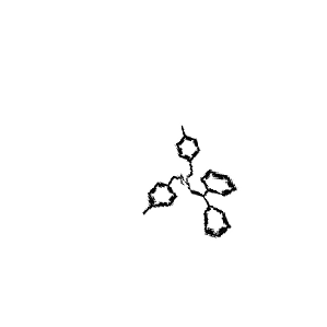 Cc1ccc(CN(C=C(c2ccccc2)c2ccccc2)Cc2ccc(C)cc2)cc1